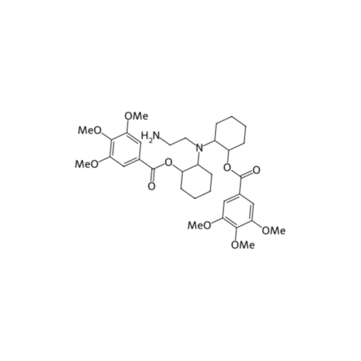 COc1cc(C(=O)OC2CCCCC2N(CCN)C2CCCCC2OC(=O)c2cc(OC)c(OC)c(OC)c2)cc(OC)c1OC